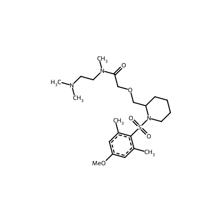 COc1cc(C)c(S(=O)(=O)N2CCCCC2COCC(=O)N(C)CCN(C)C)c(C)c1